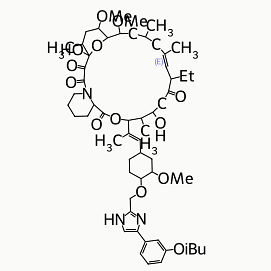 CCC1/C=C(\C)CC(C)CC(OC)C2OC(O)(C(=O)C(=O)N3CCCCC3C(=O)OC(C(C)=CC3CCC(OCc4nc(-c5cccc(OCC(C)C)c5)c[nH]4)C(OC)C3)C(C)C(O)CC1=O)C(C)CC2OC